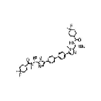 Cn1c(-c2ccc(-c3ccc(-c4cnc([C@@H](NC(=O)C5CCC(F)(F)CC5)C(C)(C)C)n4C)cc3)cc2)cnc1[C@@H](NC(=O)C1CCC(C)(F)CC1)C(C)(C)C